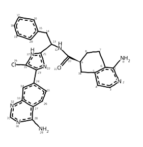 Nc1nccc2c1CC[C@H](C(=O)NC(Cc1ccccc1)c1nc(-c3ccc4c(N)ncnc4c3)c(Cl)[nH]1)C2